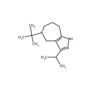 CC(C)c1n[nH]c2c1CN(C(C)(C)C)CCC2